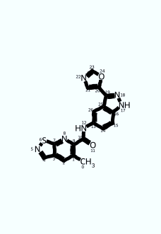 Cc1cc2cnsc2nc1C(=O)Nc1ccc2[nH]nc(-c3cnco3)c2c1